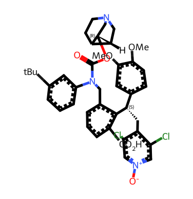 COc1ccc([C@H](Cc2c(Cl)c[n+]([O-])cc2Cl)c2c(CN(C(=O)O[C@H]3CN4CCC3CC4)c3cccc(C(C)(C)C)c3)cccc2C(=O)O)cc1OC